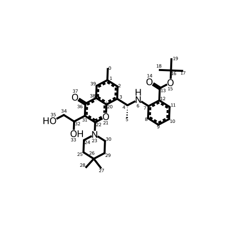 Cc1cc([C@@H](C)Nc2ccccc2C(=O)OC(C)(C)C)c2oc(N3CCC(C)(C)CC3)c(C(O)CO)c(=O)c2c1